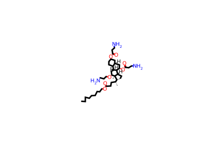 CCCCCCCCCOC(=O)CC[C@@H](C)[C@H]1CC[C@H]2[C@@H]3[C@H](OC(=O)CCN)C[C@@H]4C[C@H](OC(=O)CCN)CC[C@]4(C)[C@H]3C[C@H](OCCCN)[C@]12C